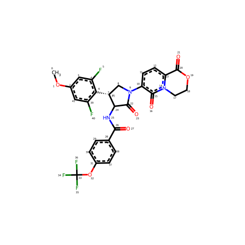 COc1cc(F)c([C@@H]2CN(c3ccc4n(c3=O)CCOC4=O)C(=O)C2NC(=O)c2ccc(OC(F)(F)F)cc2)c(F)c1